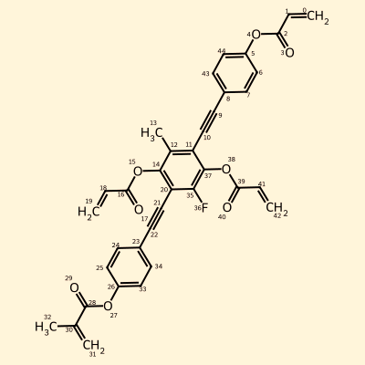 C=CC(=O)Oc1ccc(C#Cc2c(C)c(OC(=O)C=C)c(C#Cc3ccc(OC(=O)C(=C)C)cc3)c(F)c2OC(=O)C=C)cc1